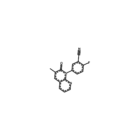 Cc1cc2cccnc2n(-c2ccc(F)c(C#N)c2)c1=O